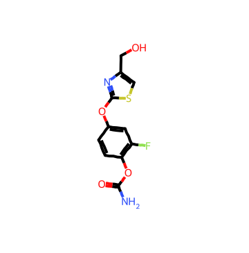 NC(=O)Oc1ccc(Oc2nc(CO)cs2)cc1F